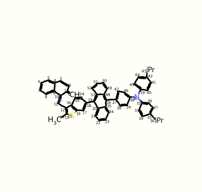 C=c1ccc2ccccc2/c1=C/c1c(C)sc2cc(-c3c4ccccc4c(-c4ccc(N(c5ccc(C(C)C)cc5)c5ccc(C(C)C)cc5)cc4)c4ccccc34)ccc12